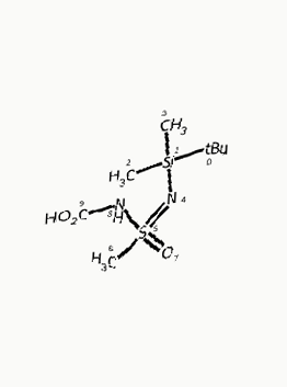 CC(C)(C)[Si](C)(C)N=S(C)(=O)NC(=O)O